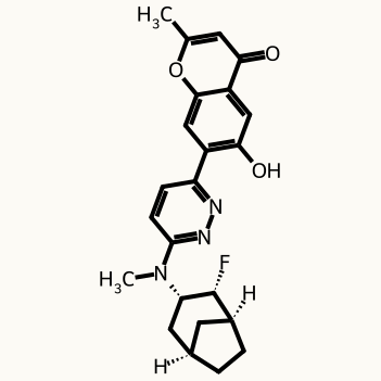 Cc1cc(=O)c2cc(O)c(-c3ccc(N(C)[C@H]4C[C@@H]5CC[C@@H](C5)[C@H]4F)nn3)cc2o1